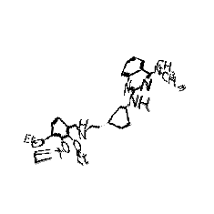 CCOc1ccc(CNCC[C@H]2CC[C@@H](Nc3nc(N(C)C)c4ccccc4n3)CC2)c(OCC)c1OCC